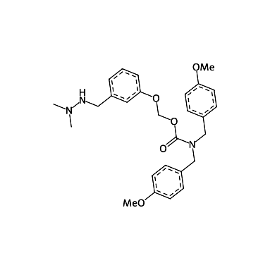 COc1ccc(CN(Cc2ccc(OC)cc2)C(=O)OCOc2cccc(CNN(C)C)c2)cc1